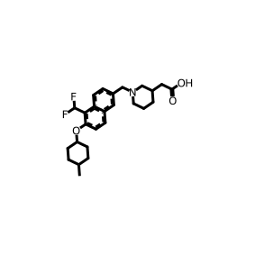 CC1CCC(Oc2ccc3cc(CN4CCCC(CC(=O)O)C4)ccc3c2C(F)F)CC1